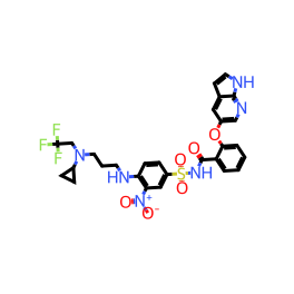 O=C(NS(=O)(=O)c1ccc(NCCCN(CC(F)(F)F)C2CC2)c([N+](=O)[O-])c1)c1ccccc1Oc1cnc2[nH]ccc2c1